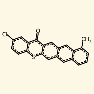 Cc1cccc2cc3cc4sc5ccc(Cl)cc5c(=O)c4cc3cc12